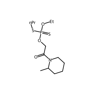 CCCSP(=S)(OCC)OCC(=O)N1CCCCC1C